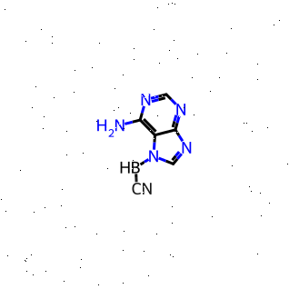 N#CBn1cnc2ncnc(N)c21